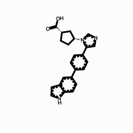 O=C(O)[C@H]1CC[C@@H](n2cncc2-c2ccc(-c3ccc4[nH]ccc4c3)cc2)C1